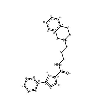 O=C(NCCCN1CCc2ccccc2C1)c1ccc(-c2ccccc2)s1